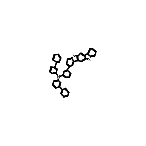 c1ccc(-c2cccc(N(c3cccc(-c4ccccc4)c3)c3cccc(-c4ccc5sc6cc7c(cc6c5c4)sc4ccccc47)c3)c2)cc1